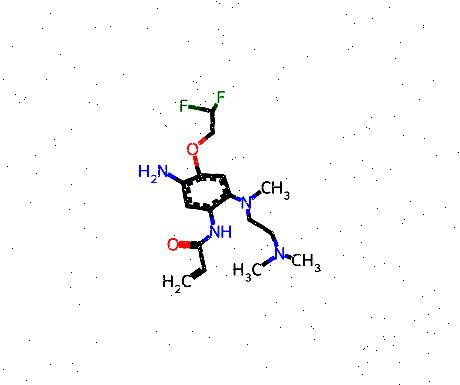 C=CC(=O)Nc1cc(N)c(OCC(F)F)cc1N(C)CCN(C)C